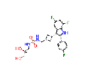 O=S(=O)(NC[C@H](O)CO)NC[C@H]1C[C@H](c2c(-c3ccc(F)cc3)[nH]c3c(F)cc(F)cc32)C1